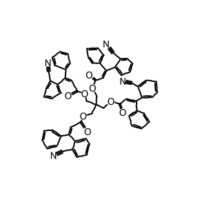 N#Cc1ccccc1C(=CC(=O)OCC(COC(=O)C=C(c1ccccc1)c1ccccc1C#N)(COC(=O)C=C(c1ccccc1)c1ccccc1C#N)COC(=O)C=C(c1ccccc1)c1ccccc1C#N)c1ccccc1